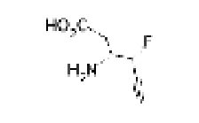 C#C[C@@H](F)[C@H](N)CC(=O)O